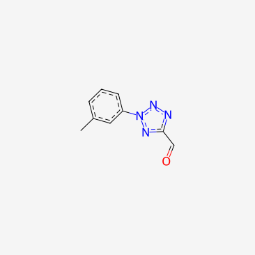 Cc1cccc(-n2nnc(C=O)n2)c1